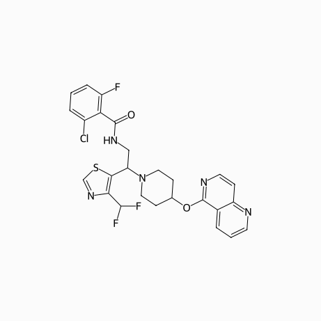 O=C(NCC(c1scnc1C(F)F)N1CCC(Oc2nccc3ncccc23)CC1)c1c(F)cccc1Cl